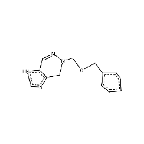 C1=NN(COCc2ccccc2)Cc2nc[nH]c21